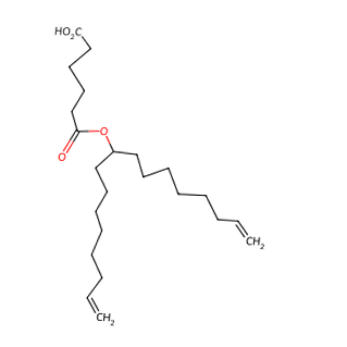 C=CCCCCCCC(CCCCCCC=C)OC(=O)CCCCC(=O)O